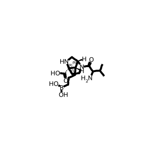 CC(C)C(N)C(=O)N1CC[C@@]2(C(=O)O)NC[C@H]1[C@@H]2CCCB(O)O